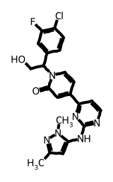 Cc1cc(Nc2nccc(-c3ccn(C(CO)c4ccc(Cl)c(F)c4)c(=O)c3)n2)n(C)n1